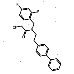 O=C(CCl)N(CCc1ccc(-c2ccccc2)cc1)Cc1ccc(F)cc1F